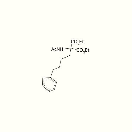 CCOC(=O)C(CCCCc1ccccc1)(NC(C)=O)C(=O)OCC